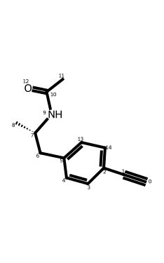 C#Cc1ccc(C[C@H](C)NC(C)=O)cc1